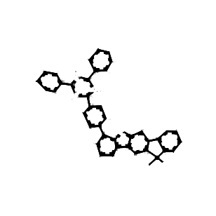 CC1(C)c2ccccc2-c2cc3sc4c(-c5ccc(-c6nc(-c7ccccc7)nc(-c7ccccc7)n6)cc5)cccc4c3cc21